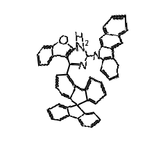 CC(/N=C(/c1cccc2c1-c1ccccc1C21c2ccccc2-c2ccccc21)c1c(N)oc2ccccc12)n1c2c(c3cc4ccccc4cc31)CCC=C2